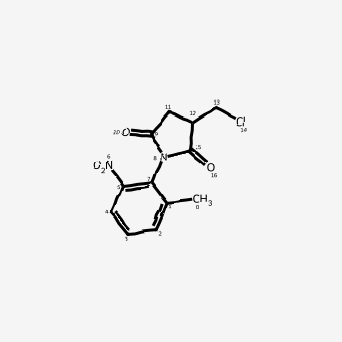 Cc1cccc([N+](=O)[O-])c1N1C(=O)CC(CCl)C1=O